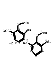 CCCCOc1c(CCCC)cccc1C(=O)[O-].CCCCOc1c(CCCC)cccc1C(=O)[O-].[Zn+2]